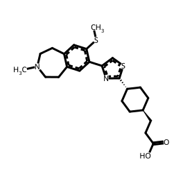 CSc1cc2c(cc1-c1csc([C@H]3CC[C@H](CCC(=O)O)CC3)n1)CCN(C)CC2